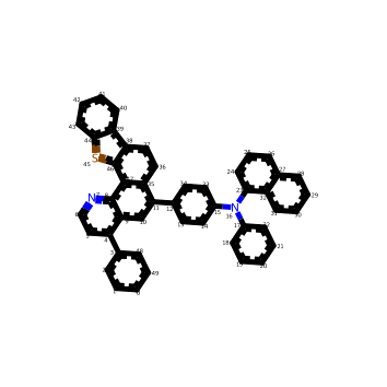 c1ccc(-c2ccnc3c2cc(-c2ccc(N(c4ccccc4)c4cccc5ccccc45)cc2)c2ccc4c5ccccc5sc4c23)cc1